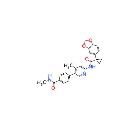 CNC(=O)c1ccc(-c2cnc(NC(=O)C3(c4ccc5c(c4)OCO5)CC3)cc2C)cc1